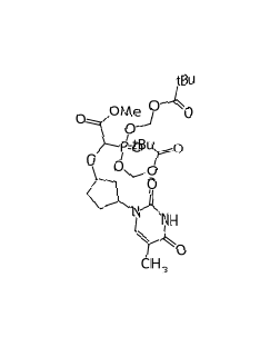 COC(=O)C(OC1CCC(n2cc(C)c(=O)[nH]c2=O)C1)P(=O)(OCOC(=O)C(C)(C)C)OCOC(=O)C(C)(C)C